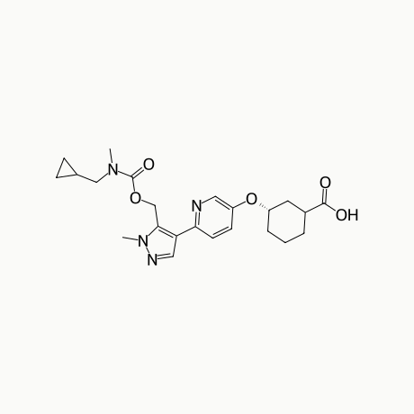 CN(CC1CC1)C(=O)OCc1c(-c2ccc(O[C@H]3CCCC(C(=O)O)C3)cn2)cnn1C